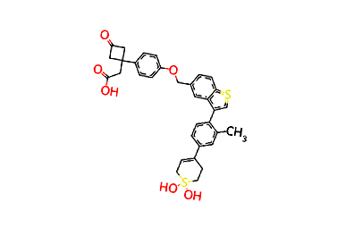 Cc1cc(C2=CCS(O)(O)CC2)ccc1-c1csc2ccc(COc3ccc(C4(CC(=O)O)CC(=O)C4)cc3)cc12